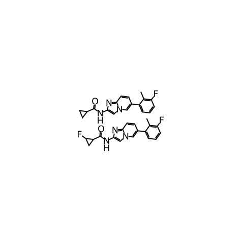 Cc1c(F)cccc1-c1ccc2nc(NC(=O)C3CC3)cn2c1.Cc1c(F)cccc1-c1ccc2nc(NC(=O)C3CC3F)cn2c1